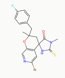 CN1C(=O)C2(CC(C)(Cc3ccc(F)cc3)Oc3cnc(Br)cc32)NC1=S